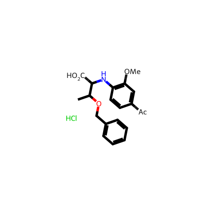 COc1cc(C(C)=O)ccc1NC(C(=O)O)C(C)OCc1ccccc1.Cl